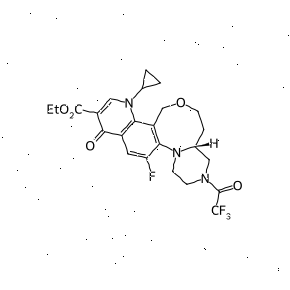 CCOC(=O)c1cn(C2CC2)c2c3c(c(F)cc2c1=O)N1CCN(C(=O)C(F)(F)F)C[C@H]1CCOC3